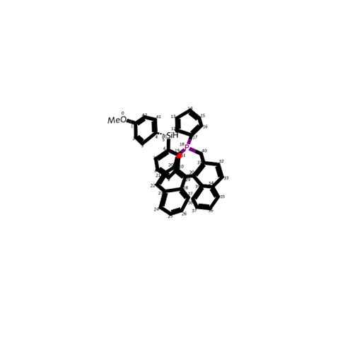 COc1ccc([Si@@H](c2ccccc2)c2ccccc2P2Cc3ccc4ccccc4c3-c3c(ccc4ccccc34)C2)cc1